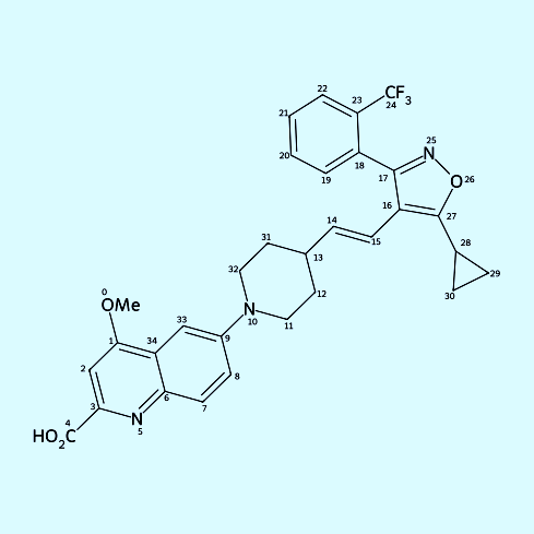 COc1cc(C(=O)O)nc2ccc(N3CCC(/C=C/c4c(-c5ccccc5C(F)(F)F)noc4C4CC4)CC3)cc12